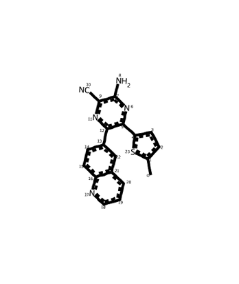 Cc1ccc(-c2nc(N)c(C#N)nc2-c2ccc3ncccc3c2)s1